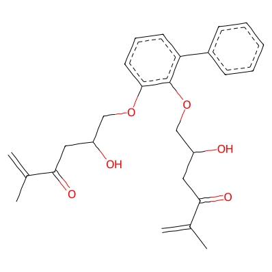 C=C(C)C(=O)CC(O)COc1cccc(-c2ccccc2)c1OCC(O)CC(=O)C(=C)C